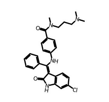 CN(C)CCCN(C)C(=O)c1ccc(NC(=C2C(=O)Nc3cc(Cl)ccc32)c2ccccc2)cc1